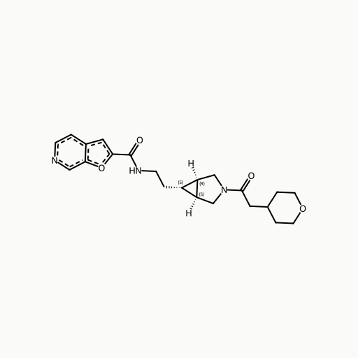 O=C(NCC[C@@H]1[C@H]2CN(C(=O)CC3CCOCC3)C[C@@H]12)c1cc2ccncc2o1